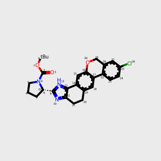 CC(C)(C)OC(=O)N1CCC[C@H]1c1nc2c([nH]1)-c1cc3c(cc1CC2)-c1ccc(Cl)cc1CO3